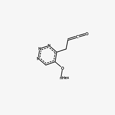 CCCCCCOc1cnnnc1CC=C=O